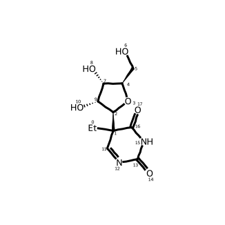 CCC1([C@@H]2O[C@H](CO)[C@@H](O)[C@H]2O)C=NC(=O)NC1=O